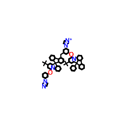 C[n+]1ccn(-c2cc(Cc3cccc4c3-c3ccccc3C4(c3ccccc3)c3cc(C(C)(C)C)cc(Oc4cccc(-n5ccnc5)c4)n3)cc(Oc3cc(C(C)(C)C)cc(C4(c5ccccc5)c5ccccc5-c5ccccc54)n3)c2)c1